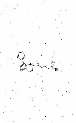 CCN(CC)CCCOc1ccc2ncc(-c3ccsc3)n2n1